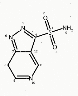 NS(=O)(=O)C1=NN=C2CC=NC=C21